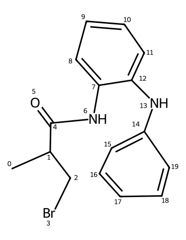 CC(CBr)C(=O)Nc1ccccc1Nc1ccccc1